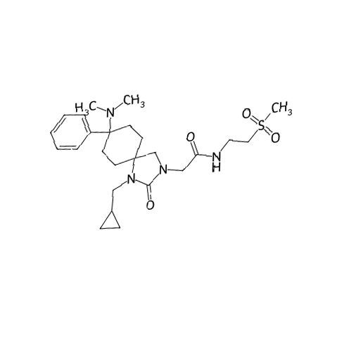 CN(C)C1(c2ccccc2)CCC2(CC1)CN(CC(=O)NCCS(C)(=O)=O)C(=O)N2CC1CC1